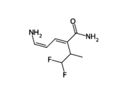 CC(/C(=C\C=C/N)C(N)=O)C(F)F